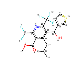 COC(=O)c1c(C(F)F)nc(C(F)(F)F)c(C(O)c2ccsc2)c1CC(C)C